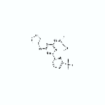 C[C@@H](Nc1nc(NC2CCOC2)nc(-c2cccc(C(F)(F)F)n2)n1)C1CC1